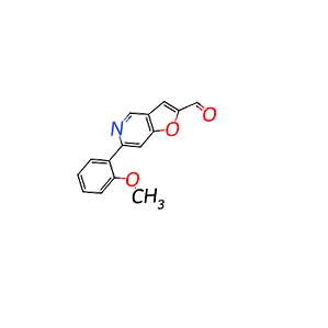 COc1ccccc1-c1cc2oc(C=O)cc2cn1